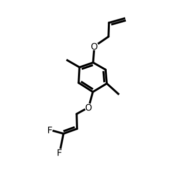 C=CCOc1cc(C)c(OCC=C(F)F)cc1C